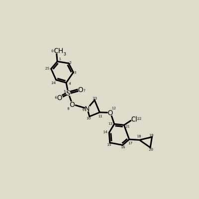 Cc1ccc(S(=O)(=O)ON2CC(Oc3cccc(C4CC4)c3Cl)C2)cc1